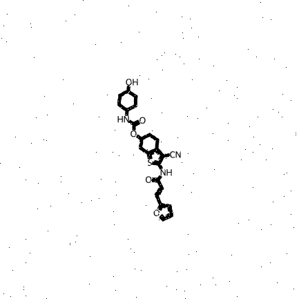 N#Cc1c(NC(=O)C=Cc2ccco2)sc2c1CCC(OC(=O)NC1CCC(O)CC1)C2